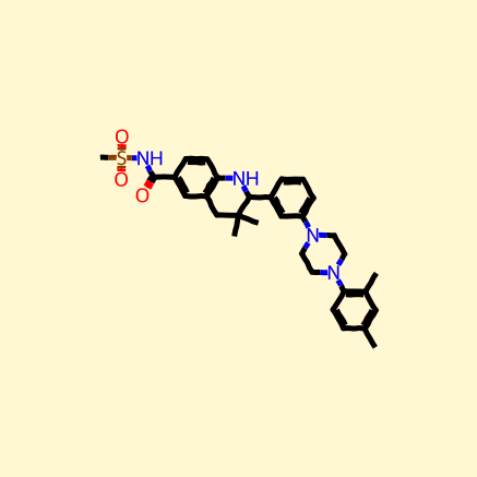 Cc1ccc(N2CCN(c3cccc(C4Nc5ccc(C(=O)NS(C)(=O)=O)cc5CC4(C)C)c3)CC2)c(C)c1